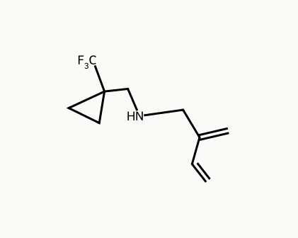 C=CC(=C)CNCC1(C(F)(F)F)CC1